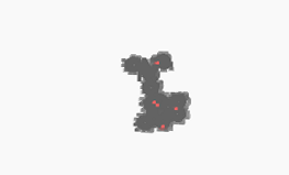 c1ccc(-c2nc(-c3ccccc3)nc(-c3ccc(-c4ccc(-n5c6ccccc6c6ccc7c8ccccc8n(-c8ccccc8-c8ccccc8)c7c65)cc4)cc3)n2)cc1